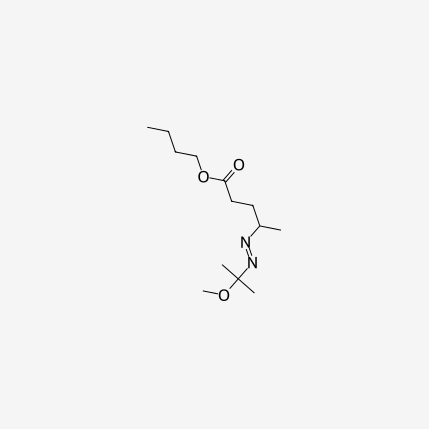 CCCCOC(=O)CCC(C)N=NC(C)(C)OC